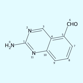 Nc1ncc2c(C=O)cccc2n1